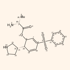 CC[C@@H](C)[C@@H](N)C(=O)OC1C=C(S(=O)(=O)c2ccccc2)C=CC1[C@@H]1CCNC1